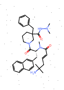 CN(C)NC(=O)C1(Cc2ccccc2)CCCN(C(=O)[C@@H](Cc2ccc3ccccc3c2)N(C)C(=O)/C=C/CC(C)(C)N)C1